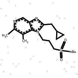 CCCCS(=O)(=O)CCCn1c(CC2CC2)nc2cnc(C)c(C)c21